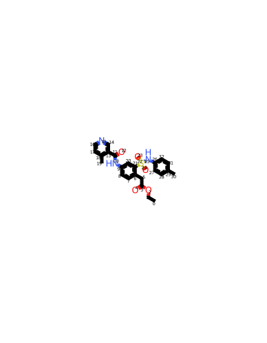 CCOC(=O)Cc1ccc(NC(=O)c2cnccc2C)cc1S(=O)(=O)Nc1ccc(C)cc1